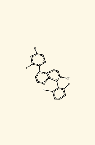 [O-][n+]1ccc2c(-c3ccc(F)cc3F)ccnc2c1-c1c(F)cccc1F